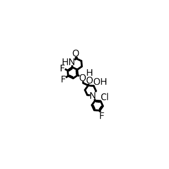 O=C1CCc2c(OCC3(O)CCN(c4ccc(F)cc4Cl)CC3O)cc(F)c(F)c2N1